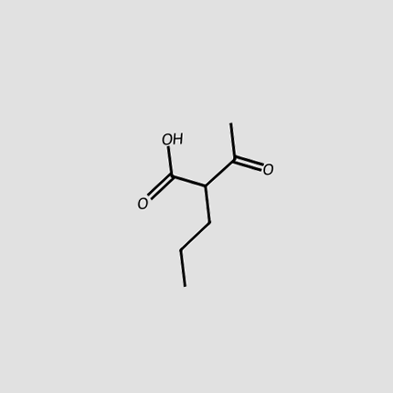 CCCC(C(C)=O)C(=O)O